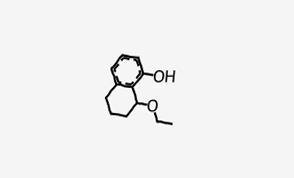 CCOC1CCCc2cccc(O)c21